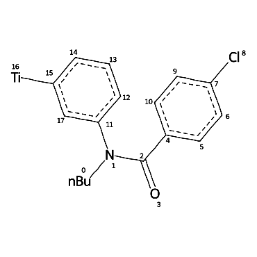 CCCCN(C(=O)c1ccc(Cl)cc1)c1ccc[c]([Ti])c1